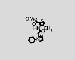 COC(=O)c1scc(C)c1NC(=O)C[n+]1cccn1C1CCCCC1